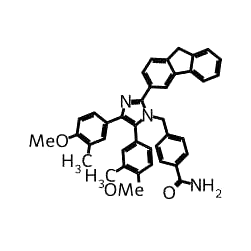 COc1ccc(-c2nc(-c3ccc4c(c3)-c3ccccc3C4)n(Cc3ccc(C(N)=O)cc3)c2-c2ccc(OC)c(C)c2)cc1C